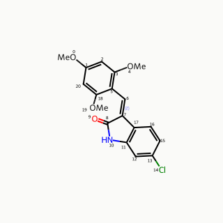 COc1cc(OC)c(/C=C2\C(=O)Nc3cc(Cl)ccc32)c(OC)c1